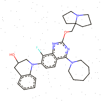 OC1Cc2ccccc2N(c2ccc3c(N4CCCCCC4)nc(OCC45CCCN4CCC5)nc3c2F)C1